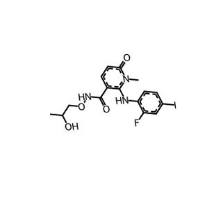 CC(O)CONC(=O)c1ccc(=O)n(C)c1Nc1ccc(I)cc1F